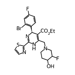 CCOC(=O)C1=C(CN2CCC(O)C(F)C2)NC(c2nccs2)=N[C@H]1c1ccc(F)cc1Br